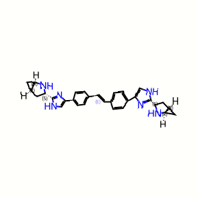 C(=C\c1ccc(-c2c[nH]c([C@@H]3C[C@H]4C[C@H]4N3)n2)cc1)/c1ccc(-c2c[nH]c([C@@H]3C[C@H]4C[C@H]4N3)n2)cc1